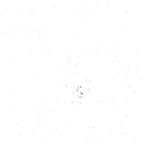 COc1ccc(CCn2cnc3cc(NC(=N[C@H]4C[C@H]5C[C@H]([C@H]4C)C5(C)C)N4CC(OC(C)=O)C4)ccc3c2=O)c(F)c1